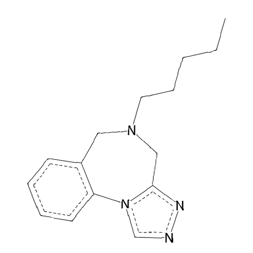 CCCCCN1Cc2ccccc2-n2cnnc2C1